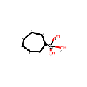 O[Si](O)(O)C1CCCCCC1